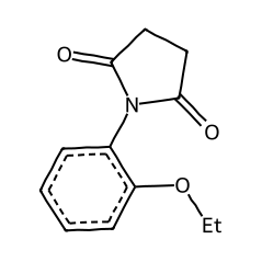 CCOc1ccccc1N1C(=O)CCC1=O